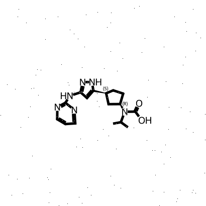 CC(C)N(C(=O)O)[C@@H]1CC[C@H](c2cc(Nc3ncccn3)n[nH]2)C1